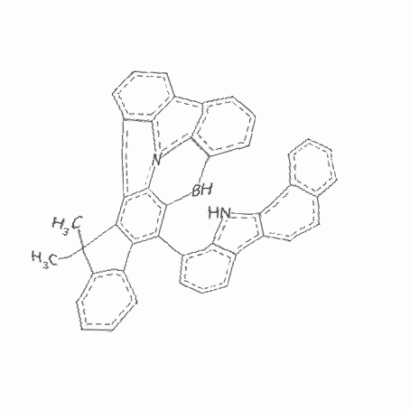 CC1(C)c2ccccc2-c2c(-c3cccc4c3[nH]c3c5ccccc5ccc43)c3c4c(c21)c1cccc2c5cccc(c5n4c21)B3